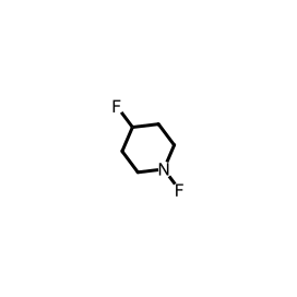 FC1CCN(F)CC1